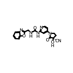 N#C[C@@]1(O)CCN(c2ccnc(NC(=O)NCc3nc4ccccc4o3)c2)C1=O